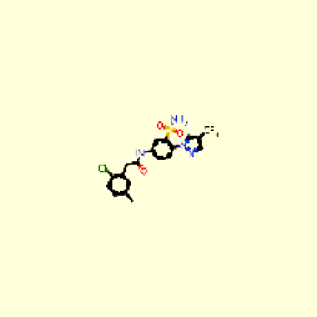 Cc1ccc(Cl)c(CC(=O)Nc2ccc(-n3cc(C(F)(F)F)cn3)c(S(N)(=O)=O)c2)c1